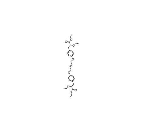 CCOC(=O)C(Cc1ccc(OC/C=C/COc2ccc(CC(OCC)C(=O)OCC)cc2)cc1)OCC